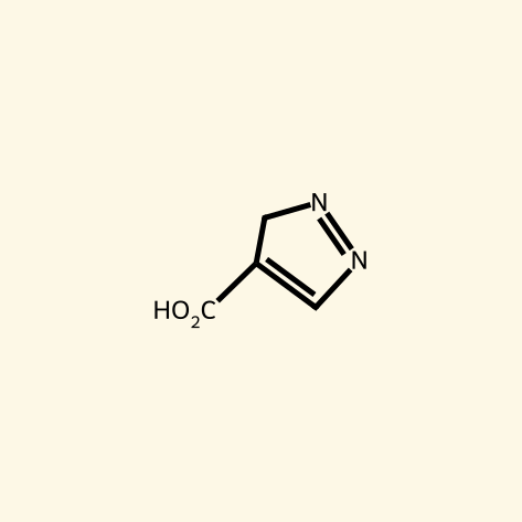 O=C(O)C1=CN=NC1